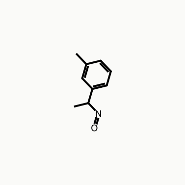 Cc1cccc(C(C)N=O)c1